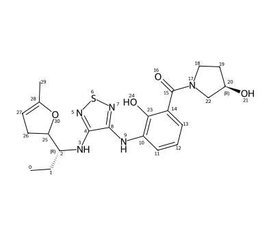 CC[C@@H](Nc1nsnc1Nc1cccc(C(=O)N2CC[C@@H](O)C2)c1O)C1CC=C(C)O1